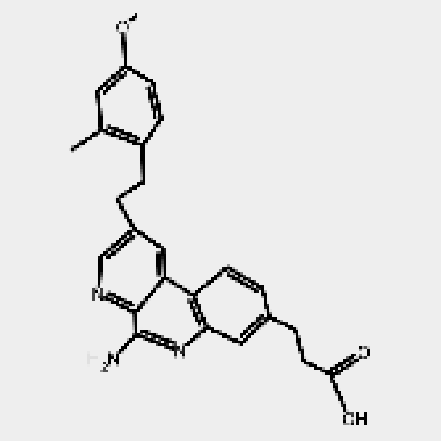 COc1ccc(CCc2cnc3c(N)nc4cc(CCC(=O)O)ccc4c3c2)c(C)c1